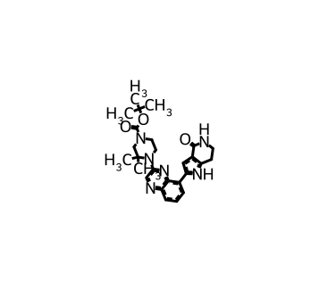 CC(C)(C)OC(=O)N1CCN(c2cnc3cccc(-c4cc5c([nH]4)CCNC5=O)c3n2)C(C)(C)C1